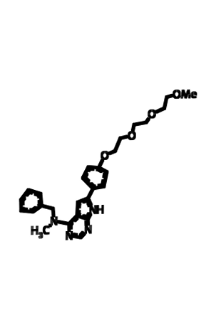 COCCOCCOCCOc1ccc(-c2cc3c(N(C)Cc4ccccc4)ncnc3[nH]2)cc1